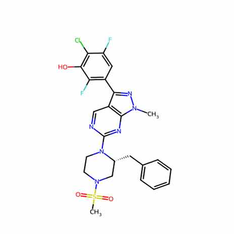 Cn1nc(-c2cc(F)c(Cl)c(O)c2F)c2cnc(N3CCN(S(C)(=O)=O)C[C@H]3Cc3ccccc3)nc21